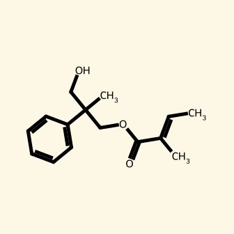 CC=C(C)C(=O)OCC(C)(CO)c1ccccc1